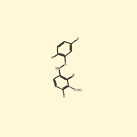 O=Cc1c(F)ccc(NSc2cc(F)ccc2F)c1F